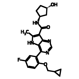 Cc1[nH]c2c(-c3cc(F)ccc3OCC3CC3)ncnc2c1C(=O)N[C@H]1CC[C@H](O)C1